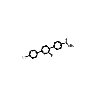 CCCCNc1ccc(-c2ccc(-c3ccc(CC)cc3)cc2F)cc1